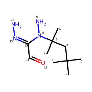 CC(C)(C)CC(C)(C)N(N)/C(C=O)=N\N